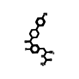 CC(Cc1ccc(F)c(C(=O)N2CCC(c3ccc(C#N)cc3)CC2)c1)NC(N)=O